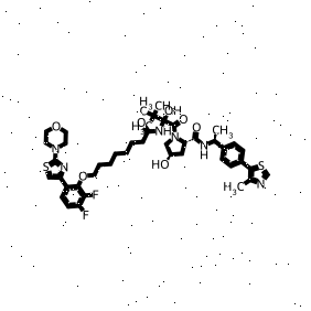 Cc1ncsc1-c1ccc([C@H](C)NC(=O)[C@@H]2C[C@@H](O)CN2C(=O)C(O)(NC(=O)CCCCCCCOc2c(-c3csc(N4CCOCC4)n3)ccc(F)c2F)C(C)(C)C)cc1